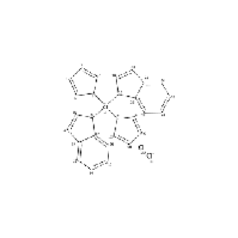 C1=C[CH]([Zr]([CH]2C=CC=C2)([CH]2C=Cc3ccccc32)[CH]2C=Cc3ccccc32)C=C1.[Cl-].[Cl-]